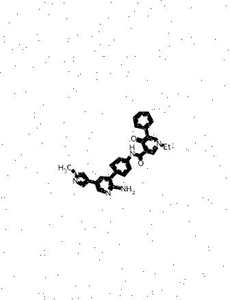 CCn1cc(C(=O)Nc2ccc(-c3cc(-c4cnn(C)c4)cnc3N)cc2)c(=O)c(-c2ccccc2)c1